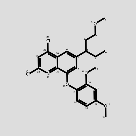 CCC(CCOC)c1cc(Oc2ccc(OC)cc2OC)c2nc(Cl)cc(Cl)c2c1